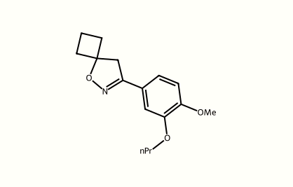 [CH2]CCOc1cc(C2=NOC3(CCC3)C2)ccc1OC